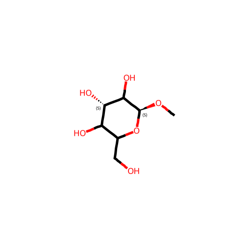 CO[C@H]1OC(CO)C(O)[C@H](O)C1O